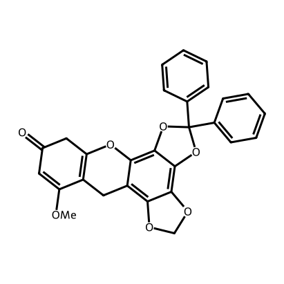 COC1=CC(=O)CC2=C1Cc1c3c(c4c(c1O2)OC(c1ccccc1)(c1ccccc1)O4)OCO3